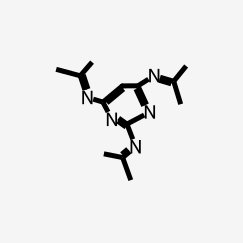 CC(C)=Nc1cc(N=C(C)C)nc(N=C(C)C)n1